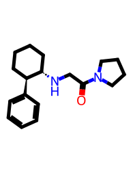 O=C(CN[C@H]1CCCC[C@@H]1c1ccccc1)N1CCCC1